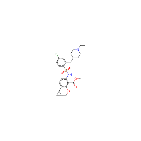 CCN1CCC(Cc2cc(F)ccc2S(=O)(=O)Nc2ccc3c(c2C(=O)OC)OCC2CC32)CC1